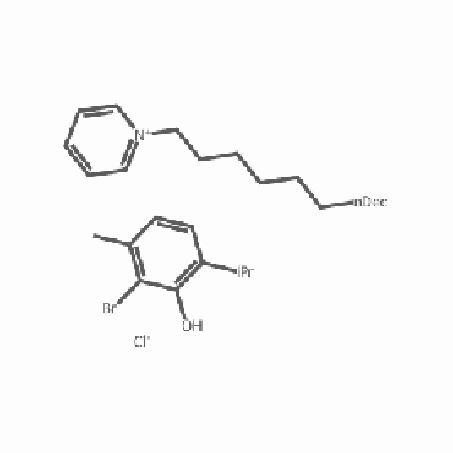 CCCCCCCCCCCCCCCC[n+]1ccccc1.Cc1ccc(C(C)C)c(O)c1Br.[Cl-]